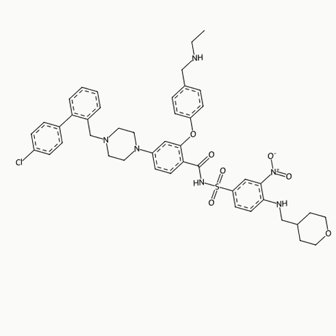 CCNCc1ccc(Oc2cc(N3CCN(Cc4ccccc4-c4ccc(Cl)cc4)CC3)ccc2C(=O)NS(=O)(=O)c2ccc(NCC3CCOCC3)c([N+](=O)[O-])c2)cc1